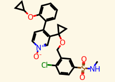 CNS(=O)(=O)c1ccc(Cl)c(COC2(c3c[n+]([O-])ccc3-c3ccccc3OC3CC3)CC2)c1